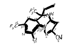 C=CC1(C(F)(F)F)Nc2cc(C#N)nn2-c2c(Cl)cc(C(F)(F)F)cc21